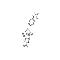 O=[N+]([O-])c1cn2c(n1)O[C@H]1C[C@H](c3ccc(OC(F)(F)F)cc3)O[C@H]1C2